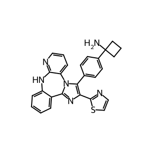 NC1(c2ccc(-c3c(-c4nccs4)nc4n3-c3cccnc3Nc3ccccc3-4)cc2)CCC1